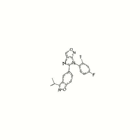 CC(C)c1noc2ccc(-c3nc4conc4n3-c3ccc(F)cc3F)cc12